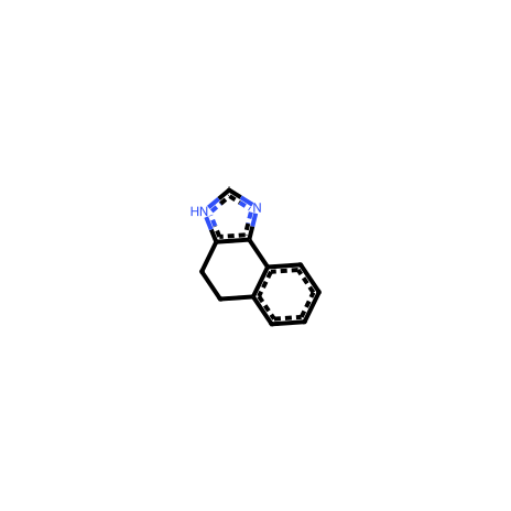 [c]1nc2c([nH]1)CCc1ccccc1-2